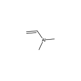 C=[CH][Al]([CH3])[CH3]